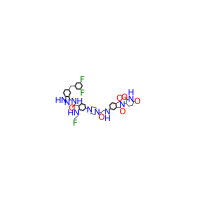 O=C1CCC(N2C(=O)c3ccc(NCC(=O)N4CCN(c5ccc(C(=O)Nc6n[nH]c7ccc(Cc8cc(F)cc(F)c8)cc67)c(NCCF)c5)CC4)cc3C2=O)C(=O)N1